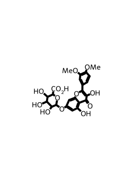 COc1ccc(-c2oc3cc(OC4OC(C(=O)O)C(O)C(O)C4O)cc(O)c3c(=O)c2O)cc1OC